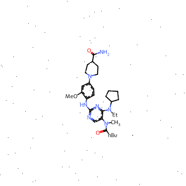 CCCCC(=O)N(C)c1cnc(Nc2ccc(N3CCC(C(N)=O)CC3)cc2OC)nc1N(CC)C1CCCC1